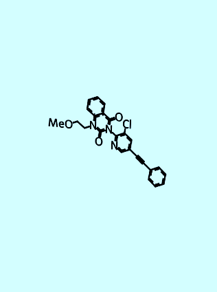 COCCn1c(=O)n(-c2ncc(C#Cc3ccccc3)cc2Cl)c(=O)c2ccccc21